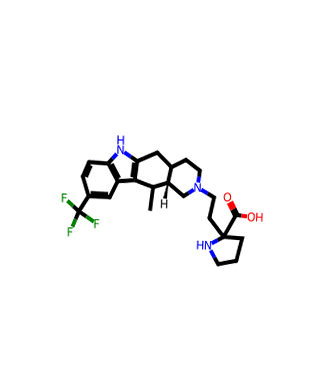 CC1c2c([nH]c3ccc(C(F)(F)F)cc23)CC2CCN(CCC3(C(=O)O)CCCN3)C[C@@H]21